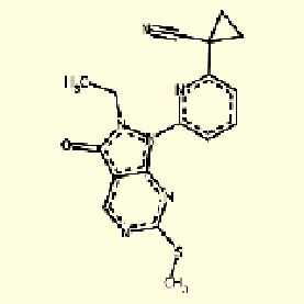 CCn1c(=O)c2cnc(SC)nc2n1-c1cccc(C2(C#N)CC2)n1